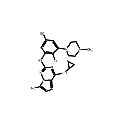 CN1CCN(c2cc(C#N)cc(Nc3nc(NC4CC4)c4ncc(C#N)n4n3)c2Cl)CC1